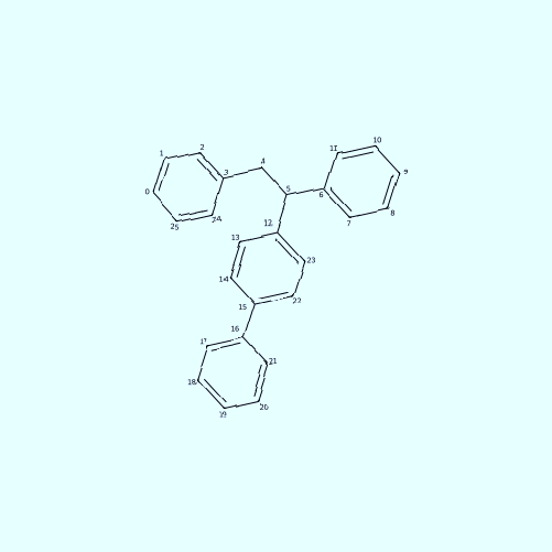 c1ccc(CC(c2ccccc2)c2ccc(-c3ccccc3)cc2)cc1